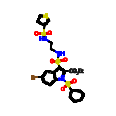 CCOC(=O)c1c(S(=O)(=O)NCCNS(=O)(=O)c2ccsc2)c2cc(Br)ccc2n1S(=O)(=O)c1ccccc1